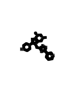 CN1Cc2c(nc(N3CCNCC3)n2Cc2nnc(-c3cccnc3)o2)N(C)C1